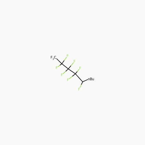 CCCCC(F)C(F)(F)C(F)(F)C(F)(F)C(F)(F)F